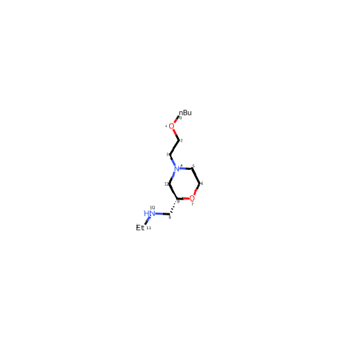 CCCCOCCN1CCO[C@H](CNCC)C1